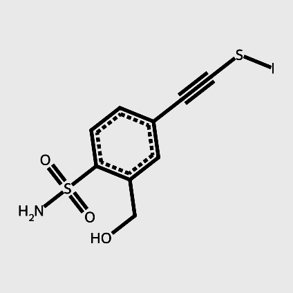 NS(=O)(=O)c1ccc(C#CSI)cc1CO